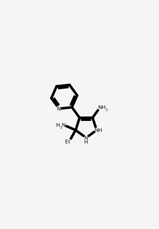 CCC1(N)NNC(N)=C1c1ccccn1